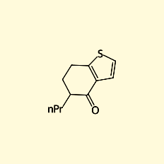 CCCC1CCc2sccc2C1=O